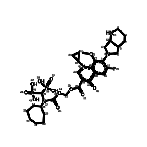 COc1c(N2CC3CCCNC3C2)c(F)cc2c(=O)c(C(=O)OCOC(=O)N(C3CCCCCC3)C(P(=O)(O)O)P(=O)(O)O)cn(C3CC3)c12